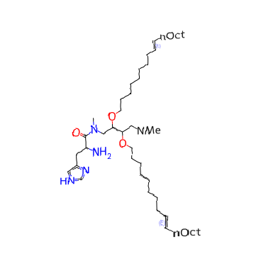 CCCCCCCC/C=C/CCCCCCCCOC(CNC)C(CN(C)C(=O)C(N)Cc1c[nH]cn1)OCCCCCCCC/C=C/CCCCCCCC